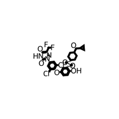 O=C(C1CC1)C1CCC(S(=O)(=O)c2cc(Oc3c(Cl)cc(-n4nc(C(F)F)c(=O)[nH]c4=O)cc3Cl)ccc2O)CC1